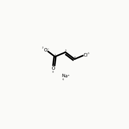 O=C([O-])C=CCl.[Na+]